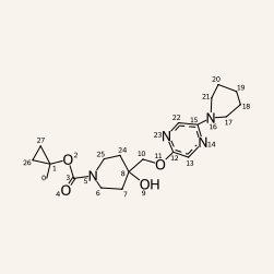 CC1(OC(=O)N2CCC(O)(COc3cnc(N4CCCCC4)cn3)CC2)CC1